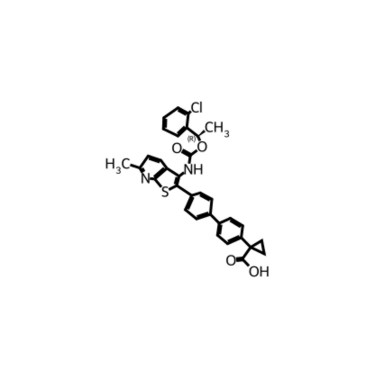 Cc1ccc2c(NC(=O)O[C@H](C)c3ccccc3Cl)c(-c3ccc(-c4ccc(C5(C(=O)O)CC5)cc4)cc3)sc2n1